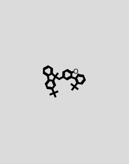 CC(C)(C)c1ccc2c(c1)C(C)(Cc1ccc3oc4cccc(C(C)(C)C)c4c3c1)c1ccccc1-2